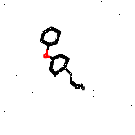 C=CCc1[c]cc(Oc2ccccc2)cc1